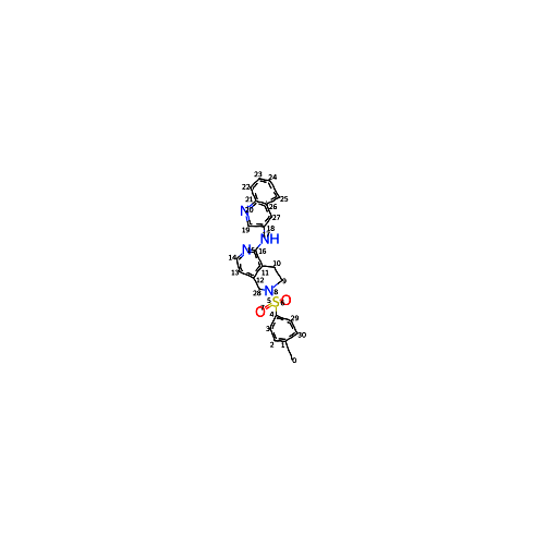 Cc1ccc(S(=O)(=O)N2CCc3c(ccnc3Nc3cnc4ccccc4c3)C2)cc1